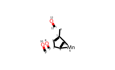 CC1=CC[C]2=[C]1[Mn]2.[C]=O.[C]=O.[C]=O